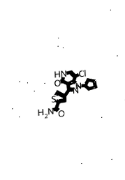 NC(=O)c1cc(-c2nn(C3CCCC3)c3c(Cl)c[nH]c(=O)c23)cs1